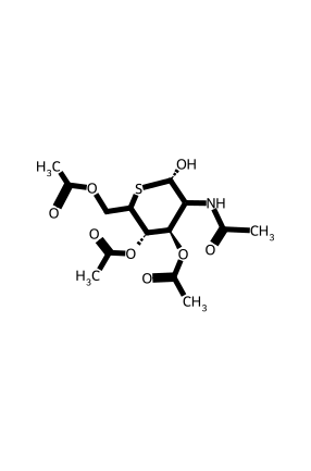 CC(=O)NC1[C@@H](OC(C)=O)[C@H](OC(C)=O)C(COC(C)=O)S[C@@H]1O